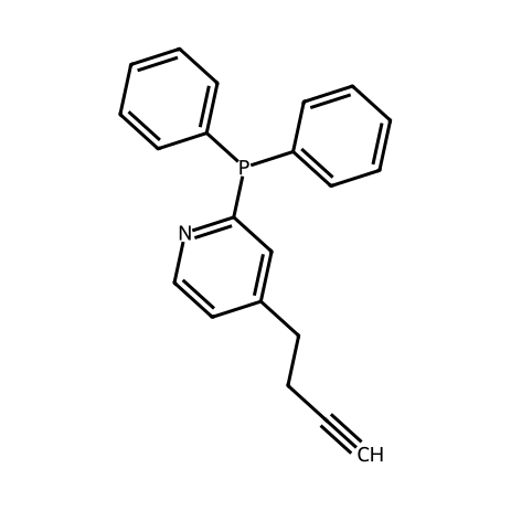 C#CCCc1ccnc(P(c2ccccc2)c2ccccc2)c1